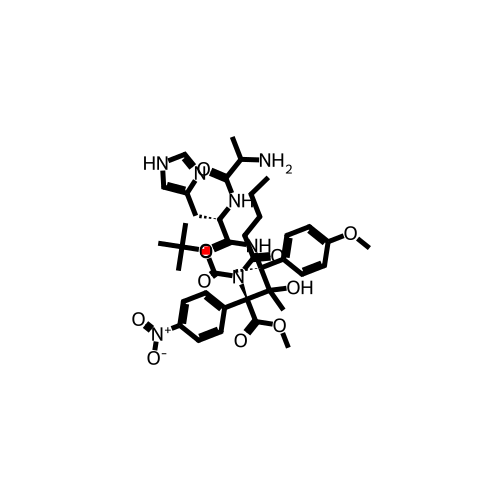 CCCCC(=O)N(C(=O)OC(C)(C)C)[C@@](C(=O)OC)(c1ccc([N+](=O)[O-])cc1)C(C)(O)[C@@](C)(NC(=O)[C@H](Cc1c[nH]cn1)NC(=O)C(C)N)c1ccc(OC)cc1